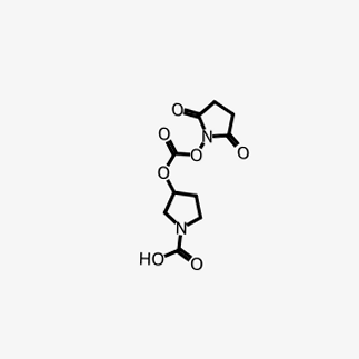 O=C(OC1CCN(C(=O)O)C1)ON1C(=O)CCC1=O